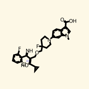 Cn1cc(C(=O)O)c2ccc(N3CCC(F)(COC/C(C(=N)c4c(F)cccc4Cl)=C(/O)C4CC4)CC3)cc21